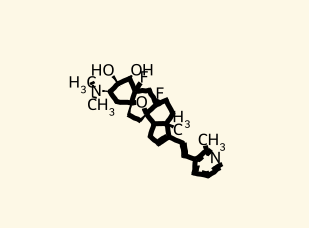 Cc1ncccc1/C=C/C1=CCC2[C@@]34CC[C@]5(C[C@H](N(C)C)[C@@H](O)[C@H](O)C5(F)CC3(F)CC[C@]12C)O4